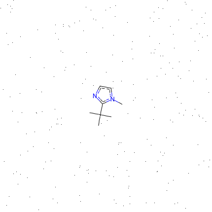 Cn1[c]cnc1C(C)(C)C